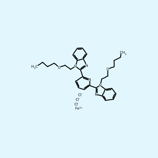 CCCCOCCn1c(-c2cccc(-c3nc4ccccc4n3CCOCCCC)n2)nc2ccccc21.[Cl-].[Cl-].[Cl-].[Fe+3]